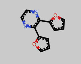 c1coc(-c2nccnc2-c2ccco2)c1